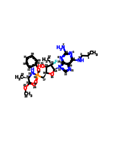 CCCNc1nc(N)nc2c1ncn2[C@@H]1O[C@H](CP(=O)(N[C@@H](C)C(=O)OC)Oc2ccccc2)[C@@H](O)[C@@]1(C)F